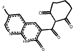 O=C1CCCC(=O)C1C(=O)c1cc2cc(F)cnc2[nH]c1=O